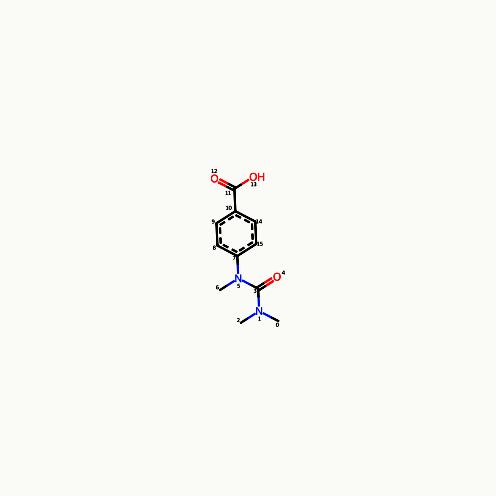 CN(C)C(=O)N(C)c1ccc(C(=O)O)cc1